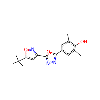 Cc1cc(-c2nnc(-c3cc(C(C)(C)C)on3)o2)cc(C)c1O